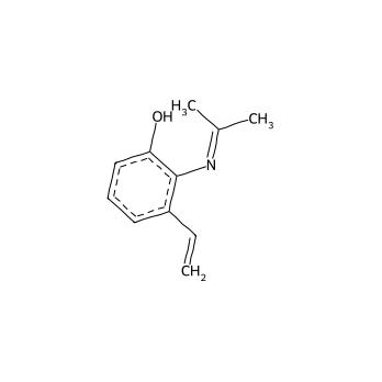 C=Cc1cccc(O)c1N=C(C)C